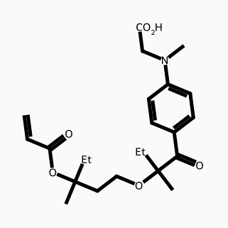 C=CC(=O)OC(C)(CC)CCOC(C)(CC)C(=O)c1ccc(N(C)CC(=O)O)cc1